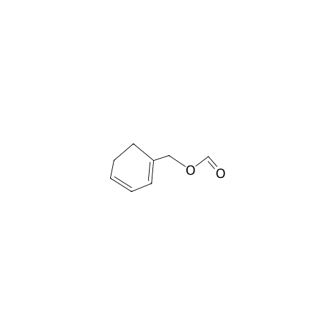 O=COCC1=CC=CCC1